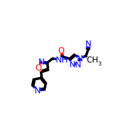 C[C@H](C#N)n1cc(C(=O)NCc2cc(-c3ccncc3)on2)nn1